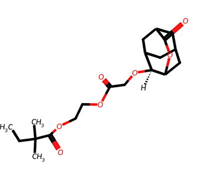 CCC(C)(C)C(=O)OCCOC(=O)CO[C@H]1C2CC3CC(C2)C(=O)OC1C3